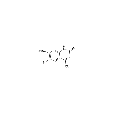 COc1cc2[nH]c(=O)cc(C(F)(F)F)c2cc1Br